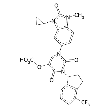 Cn1c(=O)n(C2CC2)c2cc(-n3cc(OC(=O)O)c(=O)n([C@@H]4CCc5c4cccc5C(F)(F)F)c3=O)ccc21